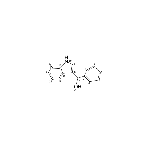 OC(c1ccccc1)c1c[nH]c2ncccc12